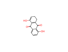 O=C1C2=C(CCC=C2O)C(=O)c2c(O)cccc21